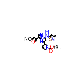 Cc1cc(Nc2cc(C3CCCN(C(=O)OC(C)(C)C)C3)nc3c(-c4coc(C#N)c4)cnn23)sn1